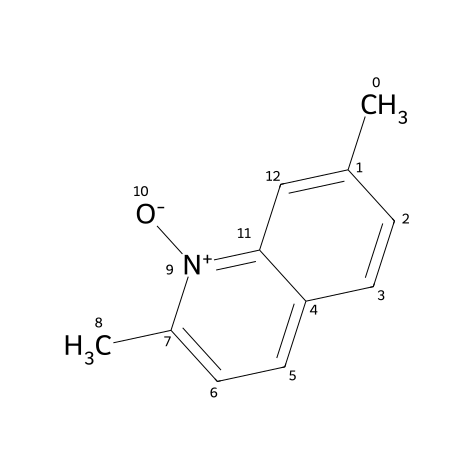 Cc1ccc2ccc(C)[n+]([O-])c2c1